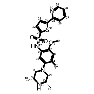 COc1cc(F)c(N2C[C@@H](C)N[C@@H](C)C2)cc1NS(=O)(=O)c1ccc(-c2ccccn2)s1